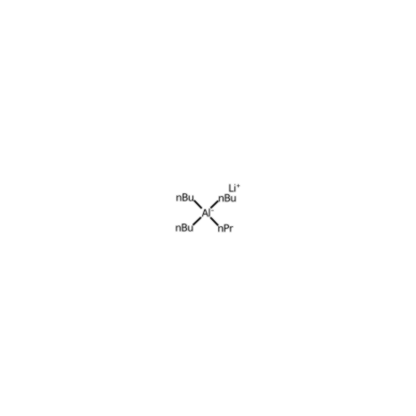 CCC[CH2][Al-]([CH2]CC)([CH2]CCC)[CH2]CCC.[Li+]